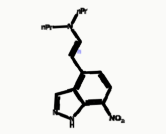 CCCN(/C=C/c1ccc([N+](=O)[O-])c2[nH]ncc12)CCC